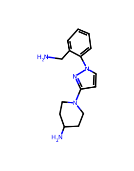 NCc1ccccc1-n1ccc(N2CCC(N)CC2)n1